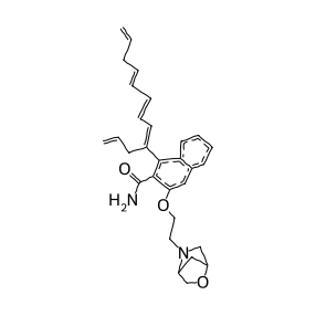 C=CCC=CC=CC=C(CC=C)c1c(C(N)=O)c(OCCN2CC3CC2CO3)cc2ccccc12